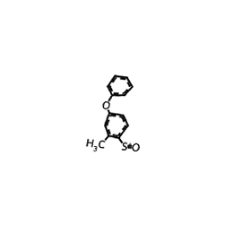 Cc1cc(Oc2ccccc2)ccc1[S+]=O